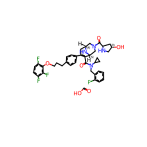 O=C(C1C[C@@H](O)CN1)N1C[C@H]2CC(c3ccc(CCCOc4c(F)ccc(F)c4F)cc3)=C(C(=O)N(Cc3ccccc3F)C3CC3)[C@@H](C1)N2.O=CO